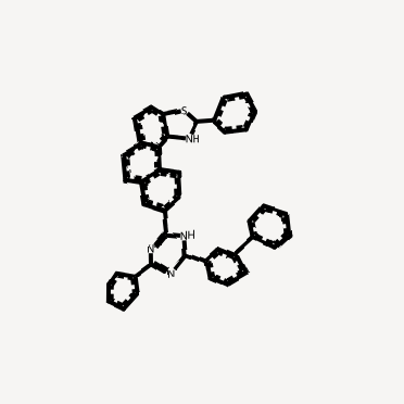 c1ccc(C2=NC(c3cccc(-c4ccccc4)c3)NC(c3ccc4c(ccc5ccc6c(c54)NC(c4ccccc4)S6)c3)=N2)cc1